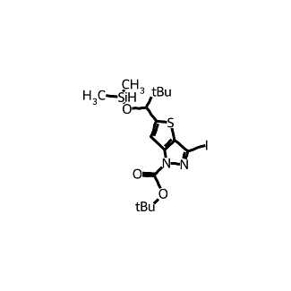 C[SiH](C)OC(c1cc2c(s1)c(I)nn2C(=O)OC(C)(C)C)C(C)(C)C